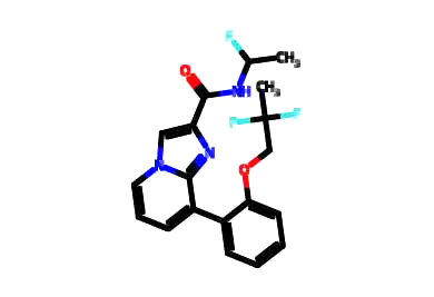 CC(F)NC(=O)c1cn2cccc(-c3ccccc3OCC(C)(F)F)c2n1